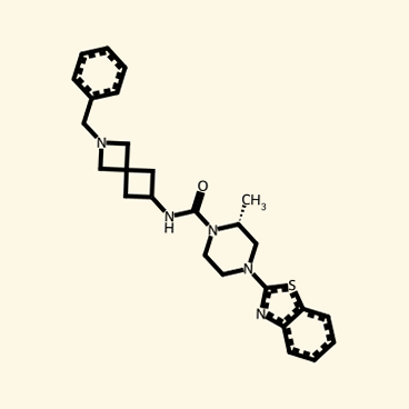 C[C@@H]1CN(c2nc3ccccc3s2)CCN1C(=O)NC1CC2(C1)CN(Cc1ccccc1)C2